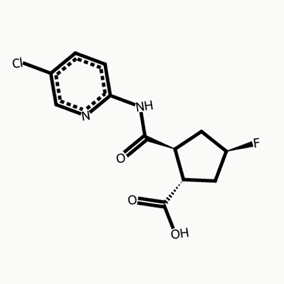 O=C(O)[C@H]1C[C@H](F)C[C@@H]1C(=O)Nc1ccc(Cl)cn1